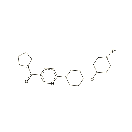 CC(C)N1CCC(OC2CCN(c3ccc(C(=O)N4CCCC4)cn3)CC2)CC1